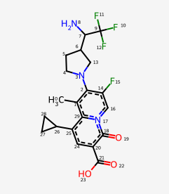 Cc1c(N2CCC(C(N)C(F)(F)F)C2)c(F)cn2c(=O)c(C(=O)O)cc(C3CC3)c12